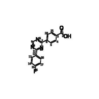 O=C(O)c1ccc(-c2ncnc(-c3ccc(F)cc3)n2)cc1